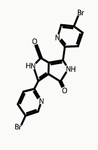 O=C1NC(c2ccc(Br)cn2)=C2C(=O)NC(c3ccc(Br)cn3)=C12